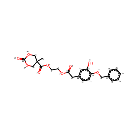 CC1(C(=O)OCCOC(=O)Cc2ccc(OCc3ccccc3)c(O)c2)COC(=O)OC1